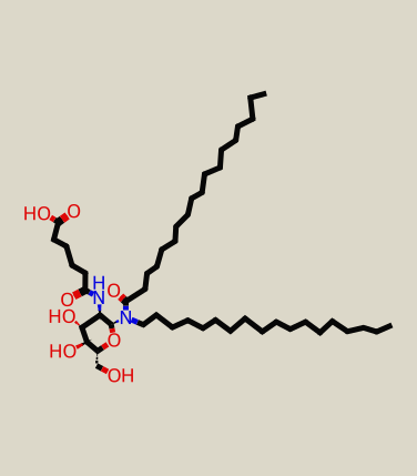 CCCCCCCCCCCCCCCCCCN(C(=O)CCCCCCCCCCCCCCCCC)[C@@H]1O[C@H](CO)[C@@H](O)[C@H](O)[C@H]1NC(=O)CCCCC(=O)O